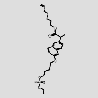 C=CCSSCCOC(=O)C(C)c1ccc2cc(OCCCCOP(C)(=O)OCC)ccc2c1